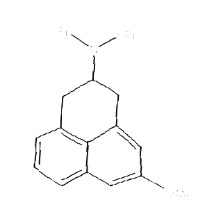 CCCN(CCC)C1Cc2cccc3cc(OC)cc(c23)C1